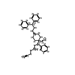 N#CCCNCN(c1ccccc1)C1(C=O)CCN(CCC(c2ccccc2)c2ccccc2)CC1